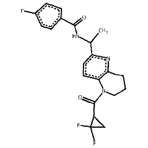 CC(NC(=O)c1ccc(F)cc1)c1ccc2c(n1)CCCN2C(=O)C1CC1(F)F